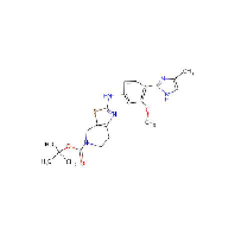 COc1cc(Nc2nc3c(s2)CN(C(=O)OC(C)(C)C)CC3)ccc1-c1nc(C)c[nH]1